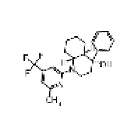 Cc1cc(C(F)(F)F)cc(N2CC[C@](O)(c3ccccc3)[C@H]3CCCC[C@H]32)n1